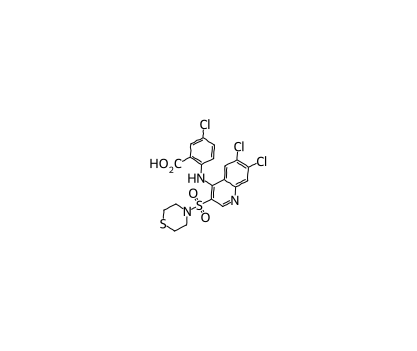 O=C(O)c1cc(Cl)ccc1Nc1c(S(=O)(=O)N2CCSCC2)cnc2cc(Cl)c(Cl)cc12